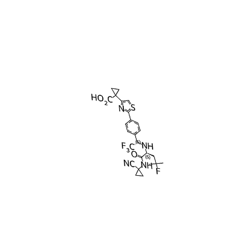 CC(C)(F)C[C@H](N[C@@H](c1ccc(-c2nc(C3(C(=O)O)CC3)cs2)cc1)C(F)(F)F)C(=O)NC1(C#N)CC1